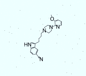 COc1cccnc1N1CCN(CCCCc2c[nH]c3ccc(C#N)cc23)CC1